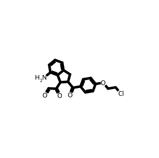 Nc1cccc2c1C(C(=O)C=O)C(C(=O)c1ccc(OCCCl)cc1)C2